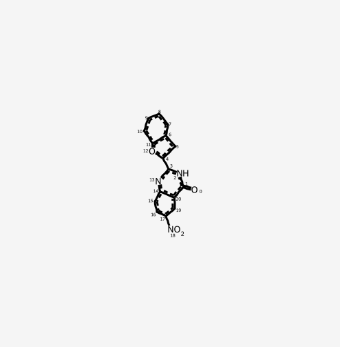 O=c1[nH]c(-c2cc3ccccc3o2)nc2ccc([N+](=O)[O-])cc12